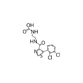 O=C(O)NCCNC(=O)c1ncsc1-c1cccc(Cl)c1Cl